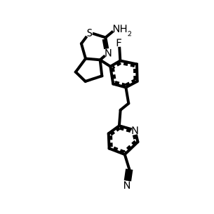 N#Cc1ccc(CCc2ccc(F)c(C34CCCC3CSC(N)=N4)c2)nc1